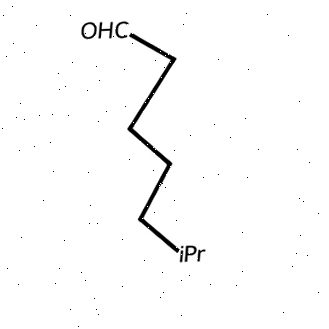 CC(C)CCCCC=O